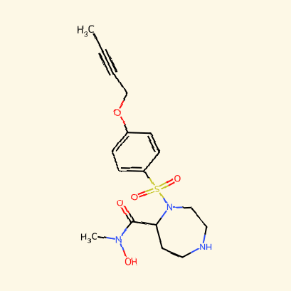 CC#CCOc1ccc(S(=O)(=O)N2CCNCCC2C(=O)N(C)O)cc1